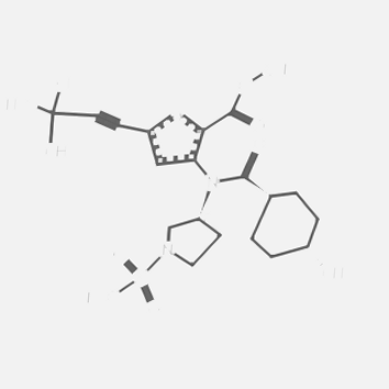 COC(=O)c1sc(C#CC(C)(C)C)cc1N(C(=O)[C@H]1CC[C@H](C)CC1)[C@H]1CCN(S(C)(=O)=O)C1